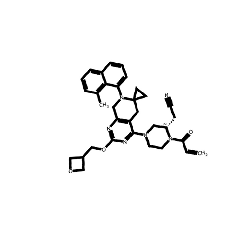 C=CC(=O)N1CCN(c2nc(OCC3COC3)nc3c2CC2(CC2)N(c2cccc4cccc(C)c24)C3)C[C@@H]1CC#N